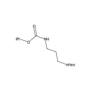 CCCCCCCCCNC(=O)OC(C)C